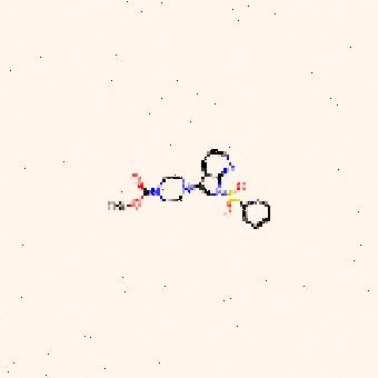 CC(C)(C)OC(=O)N1CCN(c2cn(S(=O)(=O)C3=CC=CCC3)c3ncccc23)CC1